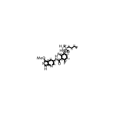 COc1n[nH]c2ncc(NC(=O)c3c(F)ccc(N[SH](=O)(P)CCCF)c3F)cc12